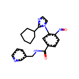 O=Nc1ccc(C(=O)NCc2cccnc2)cc1-n1ccnc1C1CCCCC1